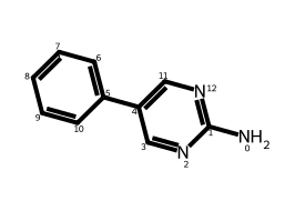 Nc1ncc(-c2c[c]ccc2)cn1